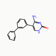 Nc1nc(=O)[nH]cc1-c1cccc(-c2ccccc2)c1